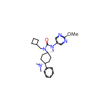 COc1ncc(N2C[C@]3(CC[C@@](c4ccccc4)(N(C)C)CC3)N(CC3CCC3)C2=O)cn1